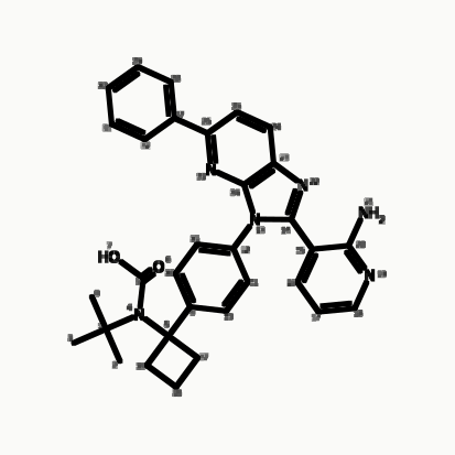 CC(C)(C)N(C(=O)O)C1(c2ccc(-n3c(-c4cccnc4N)nc4ccc(-c5ccccc5)nc43)cc2)CCC1